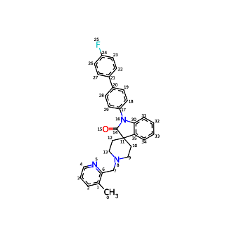 Cc1cccnc1CN1CCC2(CC1)C(=O)N(c1ccc(-c3ccc(F)cc3)cc1)c1ccccc12